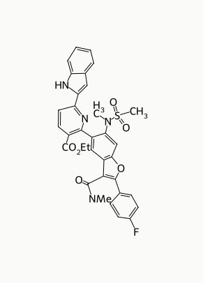 CCOC(=O)c1ccc(-c2cc3ccccc3[nH]2)nc1-c1cc2c(C(=O)NC)c(-c3ccc(F)cc3)oc2cc1N(C)S(C)(=O)=O